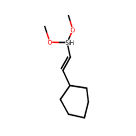 CO[SiH](C=CC1CCCCC1)OC